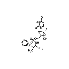 CC(C)[C@H](C)N[P@](=O)(OC[C@H]1OC(n2ccc(=O)[nH]c2=O)[C@@]2(F)C[C@]12O)Oc1ccccc1